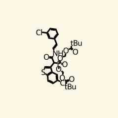 CC(C)(C)C(=O)OCOP(=O)(OCOC(=O)C(C)(C)C)C(C(=O)NC=Cc1cccc(Cl)c1)c1csc2ccc(Cl)cc12